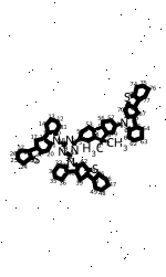 CC1(C)c2cc(-c3nc(-n4c5ccccc5c5cc6c(cc54)sc4ccccc46)nc(-n4c5ccccc5c5cc6c(cc54)sc4ccccc46)n3)ccc2-c2ccc(-n3c4ccccc4c4cc5c(cc43)sc3ccccc35)cc21